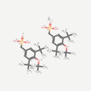 CC(C)(C)Oc1c(C(C)(C)C)cc(CP(=O)(O)O)cc1C(C)(C)C.CC(C)(C)Oc1c(C(C)(C)C)cc(CP(=O)(O)O)cc1C(C)(C)C.[Ni]